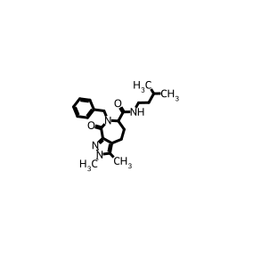 Cc1c2c(nn1C)C(=O)N(Cc1ccccc1)C(C(=O)NCCC(C)C)CC2